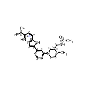 CN1CCN(c2cc(-c3cnc(/C=C\C(=N)C(F)F)[nH]3)ncn2)C[C@H]1CN[S+](C)[O-]